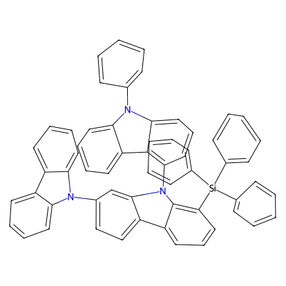 c1ccc(-n2c3ccccc3c3c(-n4c5cc(-n6c7ccccc7c7ccccc76)ccc5c5cccc([Si](c6ccccc6)(c6ccccc6)c6ccccc6)c54)cccc32)cc1